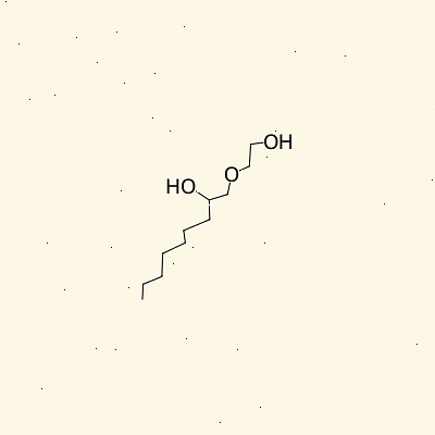 CCCCCCCC(O)COCCO